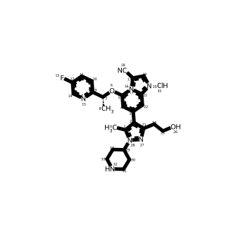 Cc1c(-c2cc(O[C@H](C)c3ccc(F)cn3)n3c(C#N)cnc3c2)c(CCO)nn1C1CCNCC1.Cl